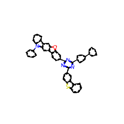 c1ccc(-c2ccc(-c3nc(-c4ccc5c(c4)oc4cc6c7ccccc7n(-c7ccccc7)c6cc45)nc(-c4ccc5sc6ccccc6c5c4)n3)cc2)cc1